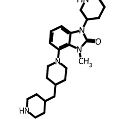 Cn1c(=O)n(C2CCCNC2)c2cccc(N3CCC(CC4CCNCC4)CC3)c21